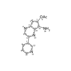 CC(=O)Oc1sc2ncc(-c3cccnc3)nc2c1N